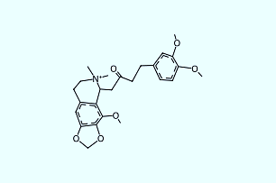 COc1ccc(CCC(=O)CC2c3c(cc4c(c3OC)OCO4)CC[N+]2(C)C)cc1OC